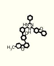 CC1C=Cc2c(oc3cccc(-c4ccc5c(c4)oc4c(C6NC(c7ccc8c(c7)oc7ccccc78)=NC(c7ccccc7)N6)cccc45)c23)C1